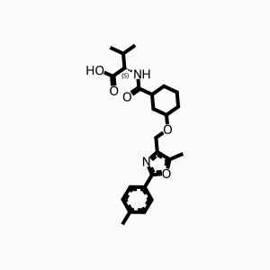 Cc1ccc(-c2nc(COC3CCCC(C(=O)N[C@H](C(=O)O)C(C)C)C3)c(C)o2)cc1